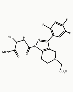 CNC(=O)C(NC(=O)n1nc(-c2cc(F)c(F)cc2F)c2c1CCN(CC(=O)O)C2)C(C)(C)C